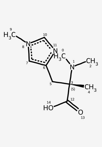 CN(C)[C@@](C)(Cc1cn(C)cn1)C(=O)O